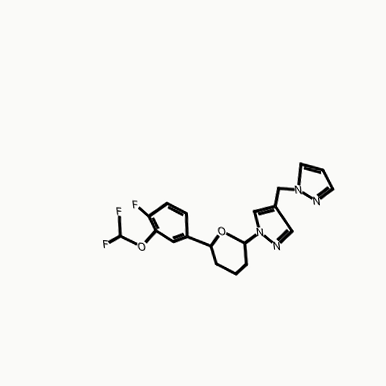 Fc1ccc(C2CCCC(n3cc(Cn4cccn4)cn3)O2)cc1OC(F)F